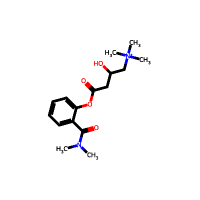 CN(C)C(=O)c1ccccc1OC(=O)CC(O)C[N+](C)(C)C